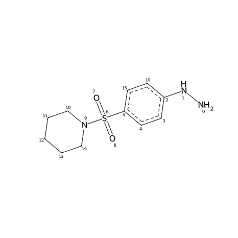 NNc1ccc(S(=O)(=O)N2CCCCC2)cc1